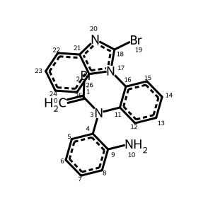 C=C(Br)N(c1ccccc1N)c1ccccc1-n1c(Br)nc2ccccc21